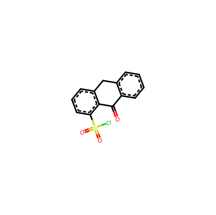 O=C1c2ccccc2Cc2cccc(S(=O)(=O)Cl)c21